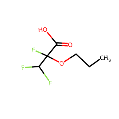 CCCOC(F)(C(=O)O)C(F)F